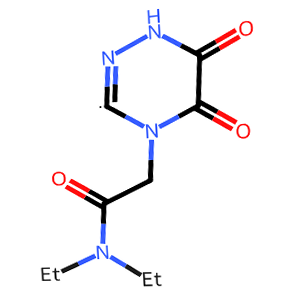 CCN(CC)C(=O)Cn1[c]n[nH]c(=O)c1=O